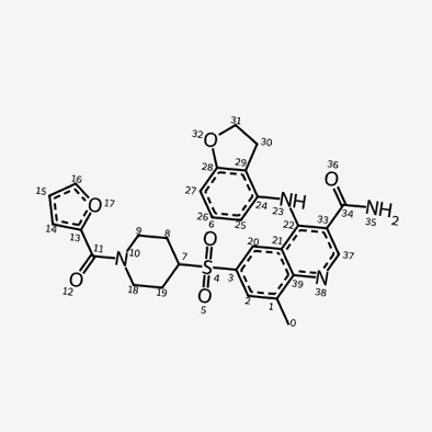 Cc1cc(S(=O)(=O)C2CCN(C(=O)c3ccco3)CC2)cc2c(Nc3cccc4c3CCO4)c(C(N)=O)cnc12